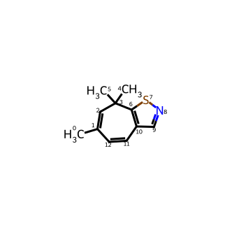 CC1=CC(C)(C)c2sncc2C=C1